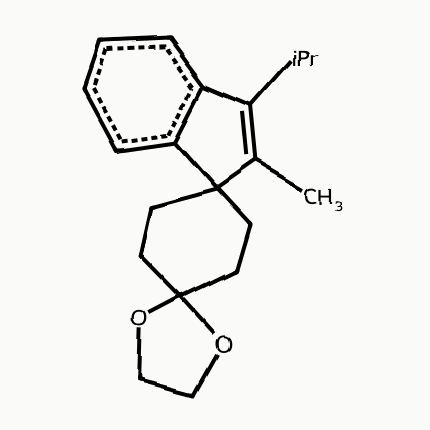 CC1=C(C(C)C)c2ccccc2C12CCC1(CC2)OCCO1